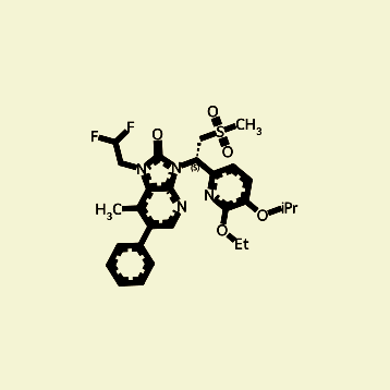 CCOc1nc([C@@H](CS(C)(=O)=O)n2c(=O)n(CC(F)F)c3c(C)c(-c4ccccc4)cnc32)ccc1OC(C)C